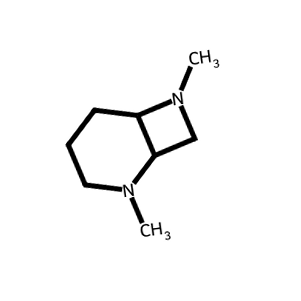 CN1CCCC2C1CN2C